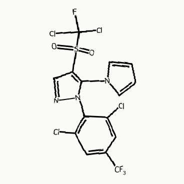 O=S(=O)(c1cnn(-c2c(Cl)cc(C(F)(F)F)cc2Cl)c1-n1cccc1)C(F)(Cl)Cl